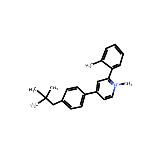 Cc1ccccc1-c1cc(-c2ccc(CC(C)(C)C)cc2)cc[n+]1C